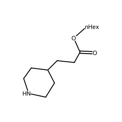 CCCCCCOC(=O)CCC1CCNCC1